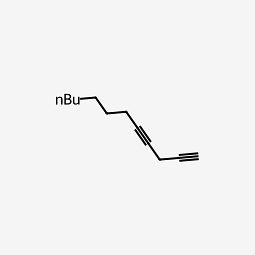 C#CCC#CCCCCCCC